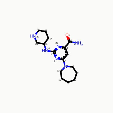 NC(=O)c1cc(N2CCCCCC2)nc(NC2CCCNC2)n1